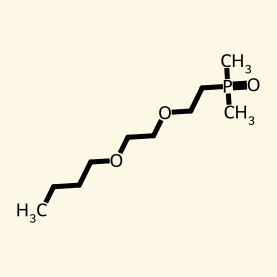 CCCCOCCOCCP(C)(C)=O